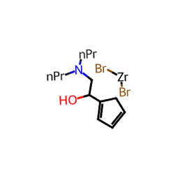 CCCN(CCC)CC(O)C1=CC=CC1.[Br][Zr][Br]